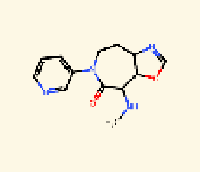 CNC1C(=O)N(c2cccnc2)CCC2N=COC21